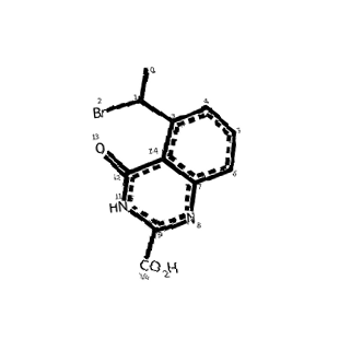 CC(Br)c1cccc2nc(C(=O)O)[nH]c(=O)c12